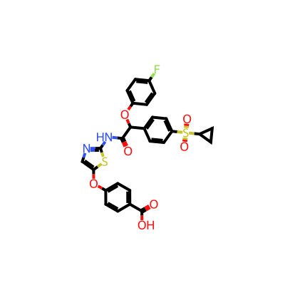 O=C(O)c1ccc(Oc2cnc(NC(=O)C(Oc3ccc(F)cc3)c3ccc(S(=O)(=O)C4CC4)cc3)s2)cc1